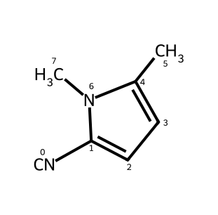 [C-]#[N+]c1ccc(C)n1C